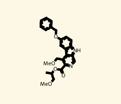 COCc1c(C(=O)OC(C)COC)ncc2[nH]c3ccc(OCc4ccccc4)cc3c12